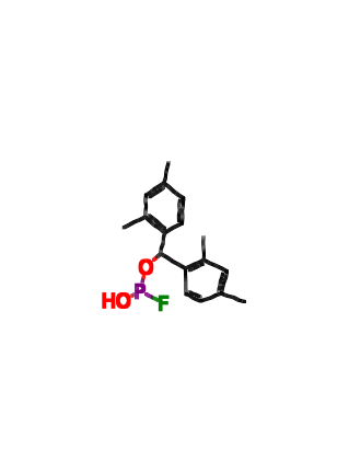 Cc1ccc(C(OP(O)F)c2ccc(C)cc2C)c(C)c1